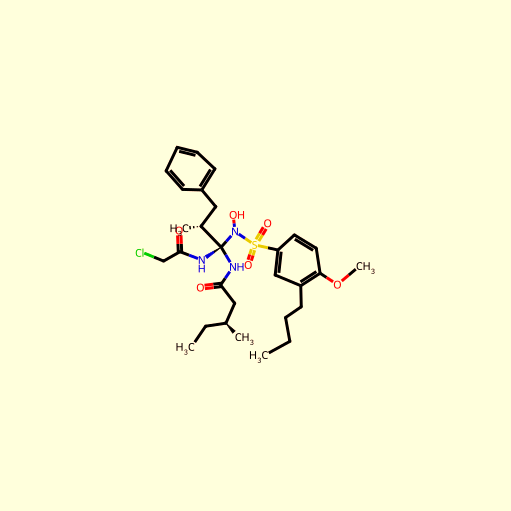 CCCCc1cc(S(=O)(=O)N(O)[C@](NC(=O)CCl)(NC(=O)C[C@@H](C)CC)[C@H](C)Cc2ccccc2)ccc1OC